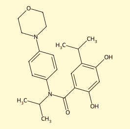 CC(C)c1cc(C(=O)N(c2ccc(N3CCOCC3)cc2)C(C)C)c(O)cc1O